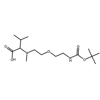 CC(C)C(C(=O)O)N(C)CCOCCNC(=O)OC(C)(C)C